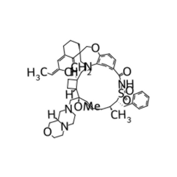 C=C1/C(=C\C(Cl)=C/C)CCC[C@]12COc1ccc3cc1N(C[C@@H]1CC[C@H]1[C@](CN1CCN4CCOC[C@@H]4C1)(OC)/C=C/C[C@H](C)[C@@H](Cc1ccccc1)S(=O)(=O)NC3=O)C2